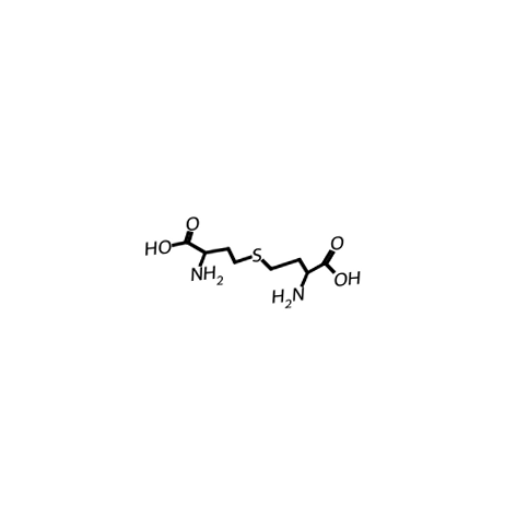 NC(CCSCCC(N)C(=O)O)C(=O)O